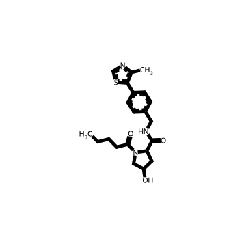 CCCCC(=O)N1CC(O)CC1C(=O)NCc1ccc(-c2scnc2C)cc1